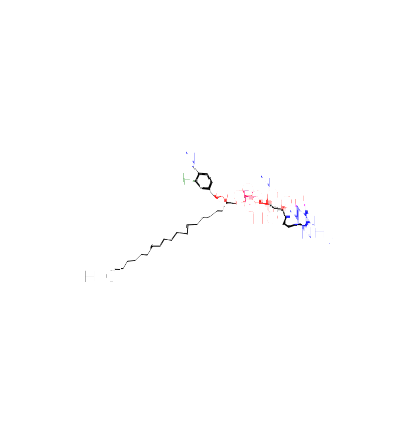 CCCCCCCCCCCCCCCCCCC[C@H](COP(=O)(O)OC[C@@H](OC#N)[C@@H](O)[C@@H](O)c1ccc2c(N)ncnn12)OCc1ccc(C#N)c(F)c1